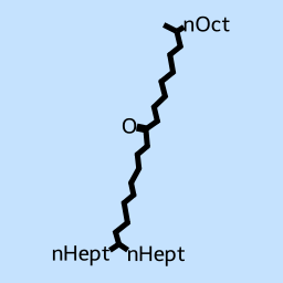 CCCCCCCCC(C)CCCCCCCC(=O)CCCCCCCCC(CCCCCCC)CCCCCCC